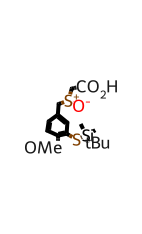 COc1ccc(C[S+]([O-])CC(=O)O)cc1S[Si](C)(C)C(C)(C)C